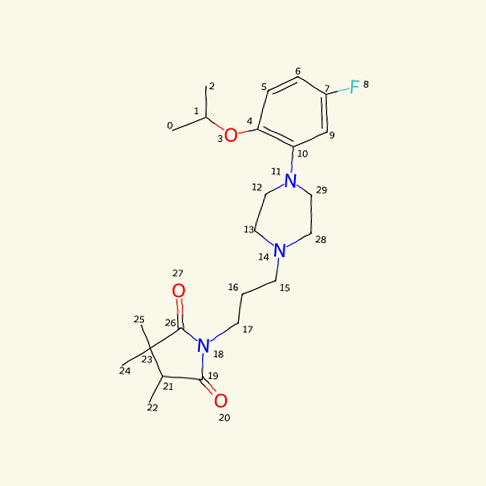 CC(C)Oc1ccc(F)cc1N1CCN(CCCN2C(=O)C(C)C(C)(C)C2=O)CC1